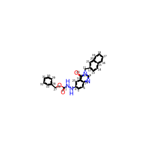 O=C(NNc1ccc2ncn(Cc3ccc4ccccc4c3)c(=O)c2c1)OCc1ccccc1